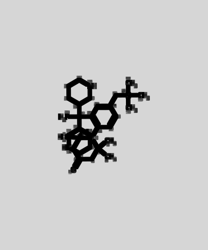 CC1(C)CC(=O)CC(C)(C)P1c1ccc(C[Si](C)(C)C)cc1C(P)(C1CCCNC1)C1CCCNC1